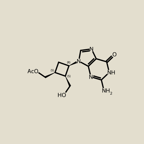 CC(=O)OC[C@H]1C[C@@H](n2cnc3c(=O)[nH]c(N)nc32)[C@H]1CO